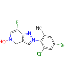 N#Cc1cc(Br)cc(Cl)c1-n1cc2c(n1)C(F)=CN(O)C2